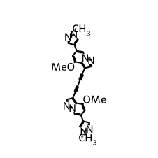 COc1cc(-c2cnn(C)c2)cn2ncc(C#CC#Cc3cnn4cc(-c5cnn(C)c5)cc(OC)c34)c12